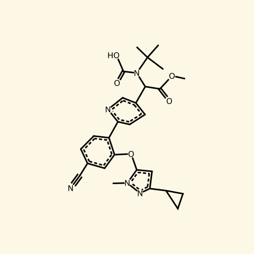 COC(=O)C(c1ccc(-c2ccc(C#N)cc2Oc2cc(C3CC3)nn2C)nc1)N(C(=O)O)C(C)(C)C